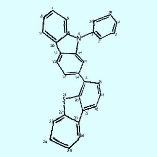 c1ccc(-n2c3ccccc3c3ccc(-c4cccc5c4sc4ccccc45)cc32)cc1